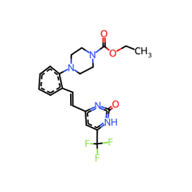 CCOC(=O)N1CCN(c2ccccc2C=Cc2cc(C(F)(F)F)[nH]c(=O)n2)CC1